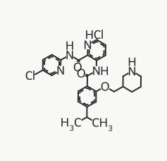 CC(C)c1ccc(C(=O)Nc2cccnc2C(=O)Nc2ccc(Cl)cn2)c(OCC2CCCNC2)c1.Cl